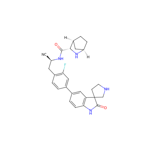 N#C[C@H](Cc1ccc(-c2ccc3c(c2)C2(CCNC2)C(=O)N3)cc1F)NC(=O)[C@H]1N[C@@H]2CC[C@H]1C2